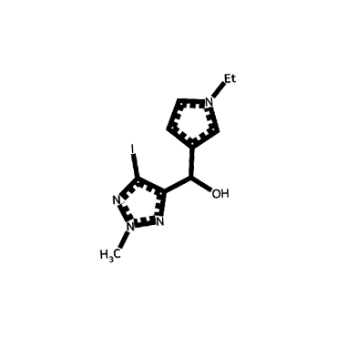 CCn1ccc(C(O)c2nn(C)nc2I)c1